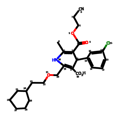 CC1=C(C(=O)OCCC#N)C(c2cccc(Cl)c2)C(C(=O)O)=C(COCCC2CCCCC2)N1